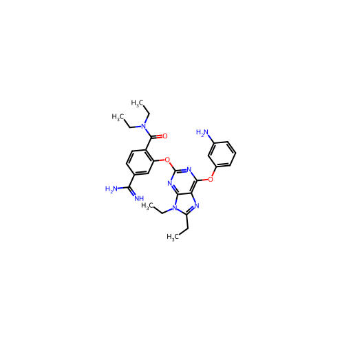 CCc1nc2c(Oc3cccc(N)c3)nc(Oc3cc(C(=N)N)ccc3C(=O)N(CC)CC)nc2n1CC